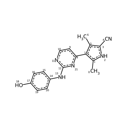 Cc1[nH]c(C#N)c(C)c1-c1ccnc(Nc2ccc(O)cc2)n1